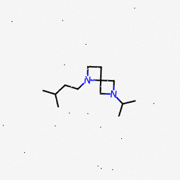 CC(C)CCN1CCC12CN(C(C)C)C2